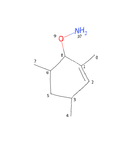 CC1=CC(C)CC(C)C1ON